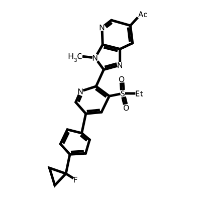 CCS(=O)(=O)c1cc(-c2ccc(C3(F)CC3)cc2)cnc1-c1nc2cc(C(C)=O)cnc2n1C